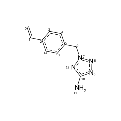 C=Cc1ccc(Cn2nnc(N)n2)cc1